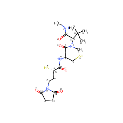 CNC(=O)[C@@H](N(C)C(=O)C(CS)NC(=O)[C@@H](S)CCN1C(=O)CCC1=O)C(C)(C)C